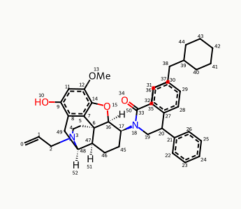 C=CCN1CC[C@]23c4c5c(O)cc(OC)c4O[C@H]2[C@@H](N(CC(c2ccccc2)c2ccccc2)C(=O)CCCCC2CCCCC2)CC[C@H]3[C@H]1C5